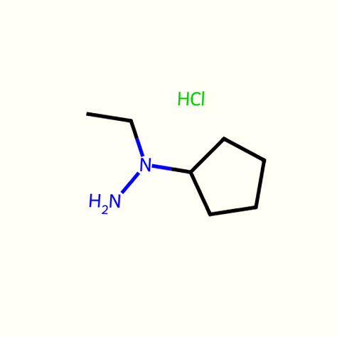 CCN(N)C1CCCC1.Cl